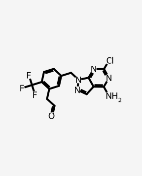 Nc1nc(Cl)nc2c1cnn2Cc1ccc(C(F)(F)F)c(CC=O)c1